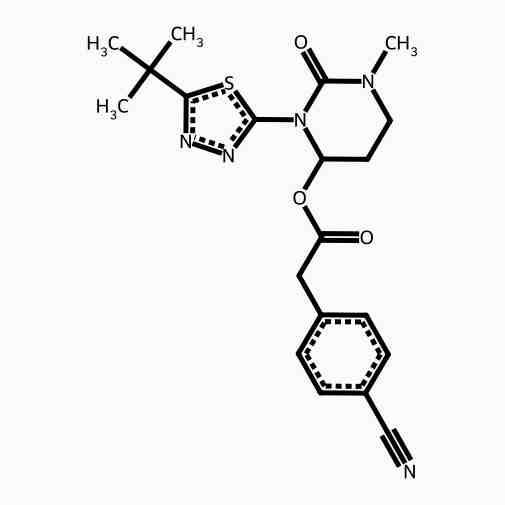 CN1CCC(OC(=O)Cc2ccc(C#N)cc2)N(c2nnc(C(C)(C)C)s2)C1=O